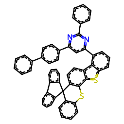 c1ccc(-c2ccc(-c3cc(-c4cccc5sc6c7c(ccc6c45)C4(c5ccccc5S7)c5ccccc5-c5ccccc54)nc(-c4ccccc4)n3)cc2)cc1